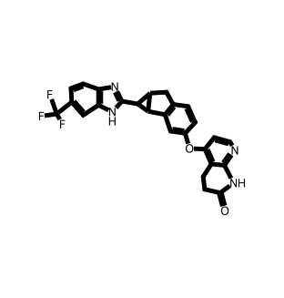 O=C1CCc2c(Oc3ccc4c(c3)C3C(C4)C3c3nc4ccc(C(F)(F)F)cc4[nH]3)ccnc2N1